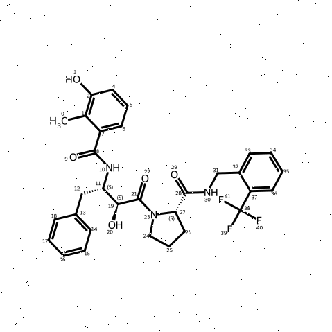 Cc1c(O)cccc1C(=O)N[C@@H](Cc1ccccc1)[C@H](O)C(=O)N1CCC[C@H]1C(=O)NCc1ccccc1C(F)(F)F